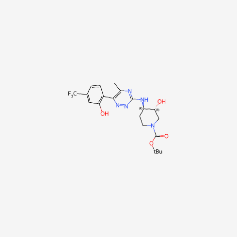 Cc1nc(N[C@@H]2CCN(C(=O)OC(C)(C)C)C[C@H]2O)nnc1-c1ccc(C(F)(F)F)cc1O